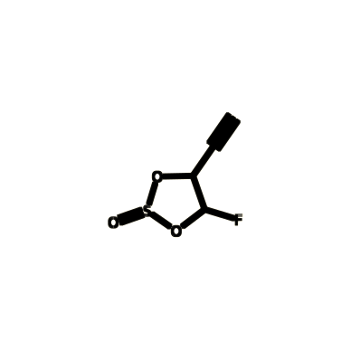 C#CC1OS(=O)OC1F